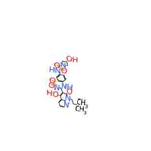 CC(C)CCn1c(=O)c(C2=NS(=O)(=O)c3cc(NS(=O)(=O)N4CC(O)C4)ccc3N2)c(O)c2cccnc21